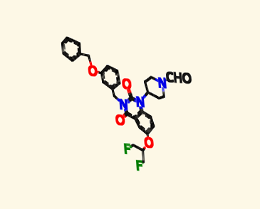 O=CN1CCC(n2c(=O)n(Cc3cccc(OCc4ccccc4)c3)c(=O)c3cc(OC(CF)CF)ccc32)CC1